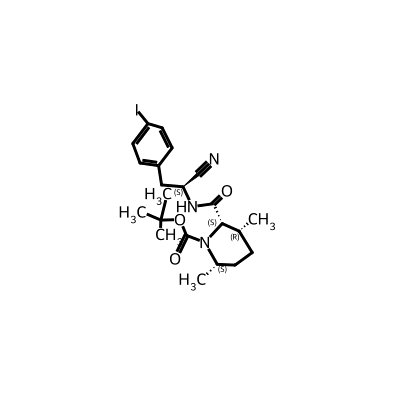 C[C@@H]1CC[C@H](C)N(C(=O)OC(C)(C)C)[C@@H]1C(=O)N[C@H](C#N)Cc1ccc(I)cc1